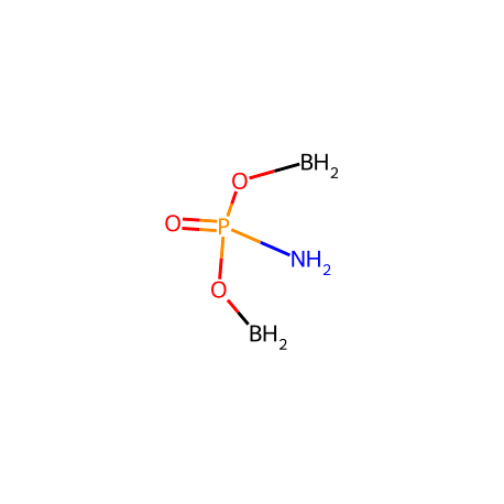 BOP(N)(=O)OB